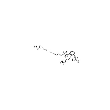 CCCCCCCCCCCC(=O)Oc1cccc(CC)c1CC